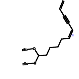 C=CC#C/C=C\CCCCC(OCCCC)OCCCC